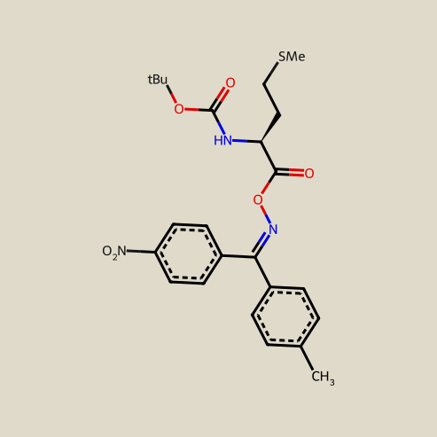 CSCC[C@H](NC(=O)OC(C)(C)C)C(=O)O/N=C(/c1ccc(C)cc1)c1ccc([N+](=O)[O-])cc1